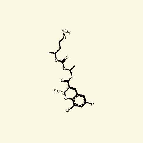 CC(CCO[N+](=O)[O-])OC(=O)OC(C)OC(=O)C1=Cc2cc(Cl)cc(Cl)c2O[C@@H]1C(F)(F)F